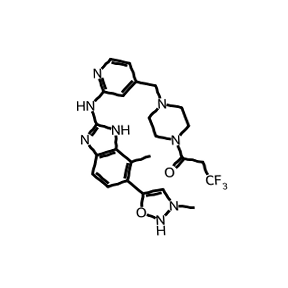 Cc1c(C2=CN(C)NO2)ccc2nc(Nc3cc(CN4CCN(C(=O)CC(F)(F)F)CC4)ccn3)[nH]c12